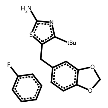 CC(C)(C)c1nc(N)sc1Cc1ccc2c(c1)OCO2.Fc1ccccc1